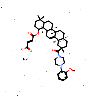 COc1ccccc1N1CCN(C(=O)C2(C)CC[C@]3(C)CC[C@]4(C)C(=CCC5[C@@]6(C)C(OC(=O)C=CC(=O)[O-])CCC(C)(C)C6CC[C@]54C)[C@@H]3C2)CC1.[Na+]